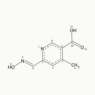 Cc1cc(C=NO)ncc1C(=O)O